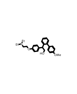 CCN(CC)CCOc1ccc(C(CO)c2ccccc2-c2ccc(OC)cc2)cc1